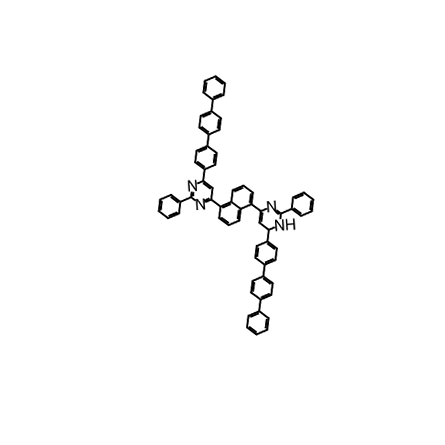 C1=C(c2cccc3c(-c4cc(-c5ccc(-c6ccc(-c7ccccc7)cc6)cc5)nc(-c5ccccc5)n4)cccc23)N=C(c2ccccc2)NC1c1ccc(-c2ccc(-c3ccccc3)cc2)cc1